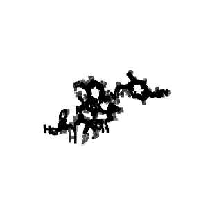 Cc1cc(C#N)cnc1CNc1ccc(F)c([C@@]2(C)N=C(NC(=O)O)C(C)(C)[SH]3(=O)NCC4(CC4)C[C@H]23)n1